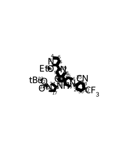 CCOc1ncccc1-c1ccc(C2(C(=O)N[C@@H]3CCN(C(=O)OC(C)(C)C)C3)CCN(c3ccc(C(F)(F)F)cc3C#N)CC2)cn1